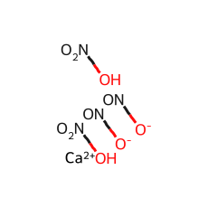 O=N[O-].O=N[O-].O=[N+]([O-])O.O=[N+]([O-])O.[Ca+2]